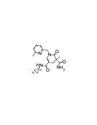 Cc1cccc(CN2C=C(C(=O)N[C@H]3C[C@@H]3C)CC(C)(C(N)=O)C2=O)n1